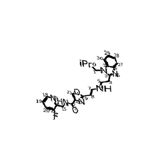 CC(C)Cn1c(CCNCCc2nc(C(=O)NCc3ncccc3F)co2)nc2ccccc21